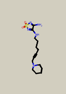 NC1=NS(=O)(=O)N=C1NCCCCC#CCN1CCCCC1